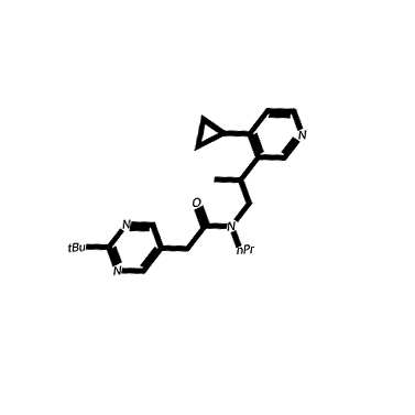 CCCN(CC(C)c1cnccc1C1CC1)C(=O)Cc1cnc(C(C)(C)C)nc1